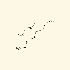 CC=CC(=O)O.OCCCCCCO